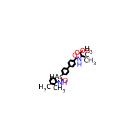 Cc1cccc(NC(=O)[AsH]c2ccc(-c3ccc(C(=O)N[C@@H](C(=O)O)C(C)C)cc3)cc2)c1C